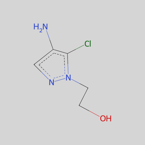 Nc1cnn(CCO)c1Cl